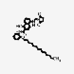 CCCCCCCCCCCCCCOc1ccccc1NC(=O)c1ccc2c(NCN3C(=O)CCC3=O)cccc2c1O